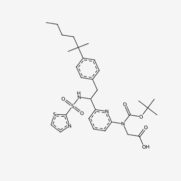 CCCCC(C)(C)c1ccc(CC(NS(=O)(=O)c2nccs2)c2cccc(N(CC(=O)O)C(=O)OC(C)(C)C)n2)cc1